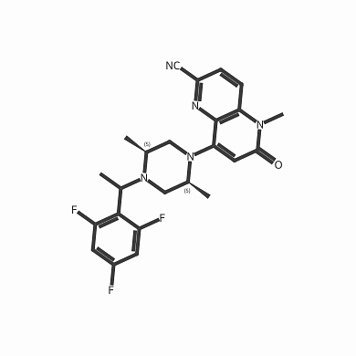 CC(c1c(F)cc(F)cc1F)N1C[C@H](C)N(c2cc(=O)n(C)c3ccc(C#N)nc23)C[C@@H]1C